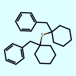 c1ccc(CC2(SC3(Cc4ccccc4)CCCCC3)CCCCC2)cc1